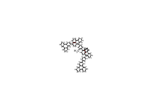 Cc1cc(N(c2ccc(-c3ccc4c5ccccc5c5ccccc5c4c3)cc2)c2ccccc2-c2ccccc2)ccc1-c1ccc(N(c2ccc(-c3ccc4c5ccccc5c5ccccc5c4c3)cc2)c2ccccc2-c2ccccc2)cc1C